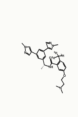 [2H]C([2H])([2H])c1ccc(OCCN(C)C)cc1C(=O)N[C@H](C)c1cc(-c2cnn(C)c2)cc(-c2cnn(C)c2)c1